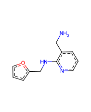 NCc1cccnc1NCc1ccco1